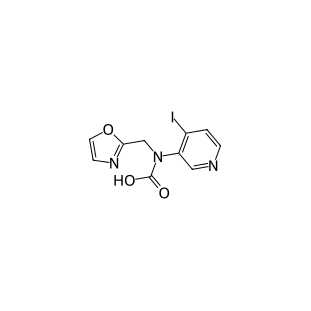 O=C(O)N(Cc1ncco1)c1cnccc1I